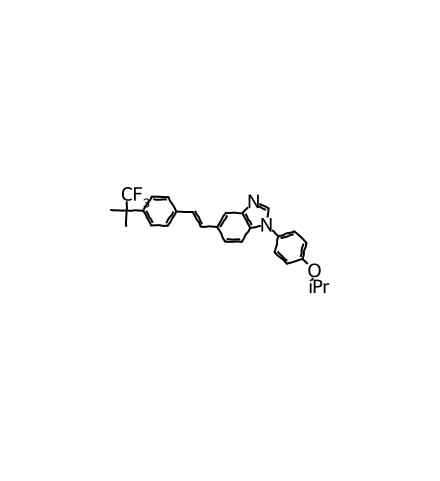 CC(C)Oc1ccc(-n2cnc3cc(C=Cc4ccc(C(C)(C)C(F)(F)F)cc4)ccc32)cc1